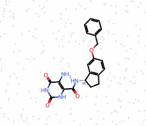 Nc1c(C(=O)N[C@H]2CCc3ccc(OCc4ccccc4)cc32)[nH]c(=O)[nH]c1=O